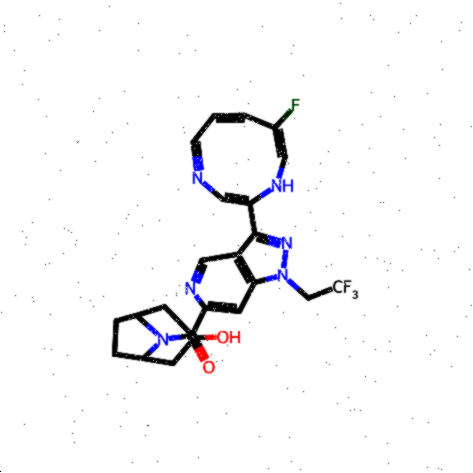 O=C(c1cc2c(cn1)c(-c1cncccc(F)c[nH]1)nn2CC(F)(F)F)N1C2CCC1CC(O)C2